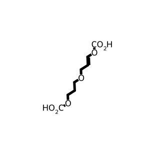 O=C(O)OC=CCOCCCOC(=O)O